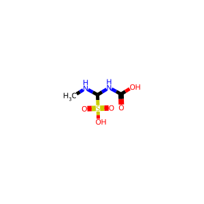 CNC(NC(=O)O)S(=O)(=O)O